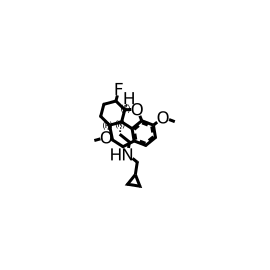 COc1ccc2c3c1O[C@@H]1C(F)CC[C@](OC)(CC2)[C@]31CCNCC1CC1